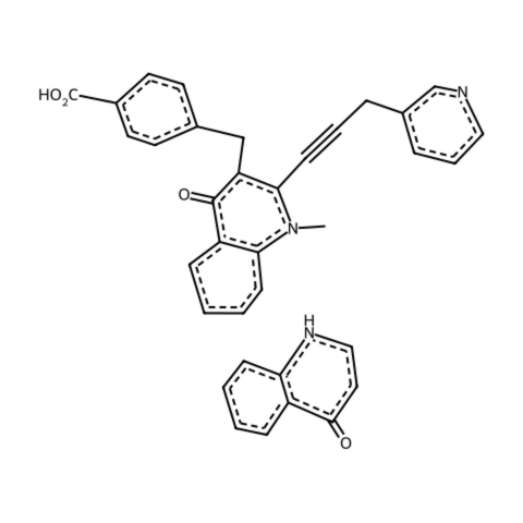 Cn1c(C#CCc2cccnc2)c(Cc2ccc(C(=O)O)cc2)c(=O)c2ccccc21.O=c1cc[nH]c2ccccc12